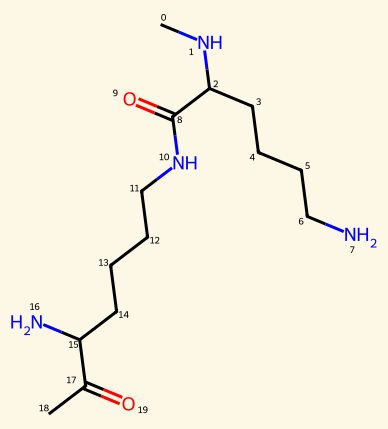 CNC(CCCCN)C(=O)NCCCCC(N)C(C)=O